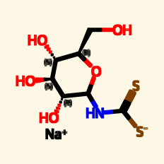 OC[C@H]1OC(NC(=S)[S-])[C@H](O)[C@@H](O)[C@@H]1O.[Na+]